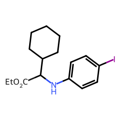 CCOC(=O)C(Nc1ccc(I)cc1)C1CCCCC1